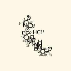 COc1cc(C)nc2c(OCc3c(Cl)ccc(N(C)C(=O)CNC(=O)Nc4cccc(C(C)=O)c4)c3Cl)cccc12.Cl